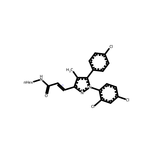 CCCCCCNC(=O)/C=C/c1nn(-c2ccc(Cl)cc2Cl)c(-c2ccc(Cl)cc2)c1C